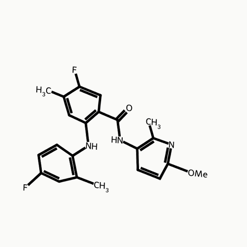 COc1ccc(NC(=O)c2cc(F)c(C)cc2Nc2ccc(F)cc2C)c(C)n1